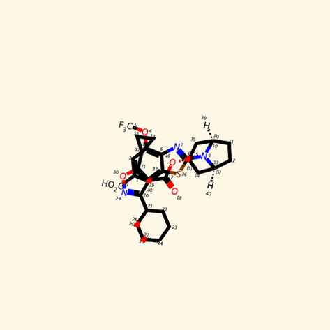 O=C(O)c1cc(OC(F)(F)F)c2nc(N3[C@@H]4CC[C@H]3C[C@H](OC(=O)c3c(C56CCC(CC5)CC6)noc3C3CC3)C4)sc2c1